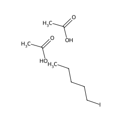 CC(=O)O.CC(=O)O.CCCCCI